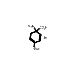 CNC1=CCC(NC)(C(=O)O)C=C1.[Zn]